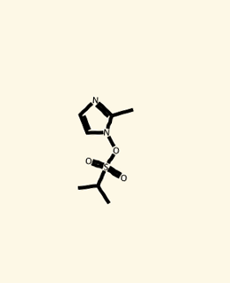 Cc1nccn1OS(=O)(=O)C(C)C